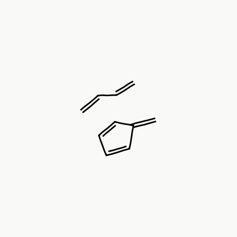 C=C1C=CC=C1.C=CC=C